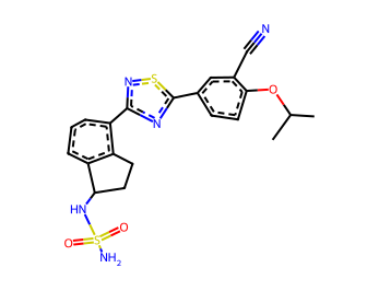 CC(C)Oc1ccc(-c2nc(-c3cccc4c3CCC4NS(N)(=O)=O)ns2)cc1C#N